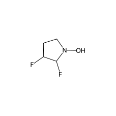 ON1CCC(F)C1F